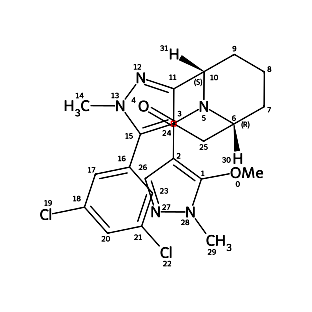 COc1c(C(=O)N2[C@@H]3CCC[C@H]2c2nn(C)c(-c4cc(Cl)cc(Cl)c4)c2C3)cnn1C